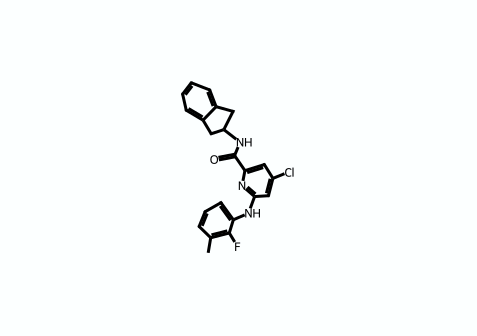 Cc1cccc(Nc2cc(Cl)cc(C(=O)NC3Cc4ccccc4C3)n2)c1F